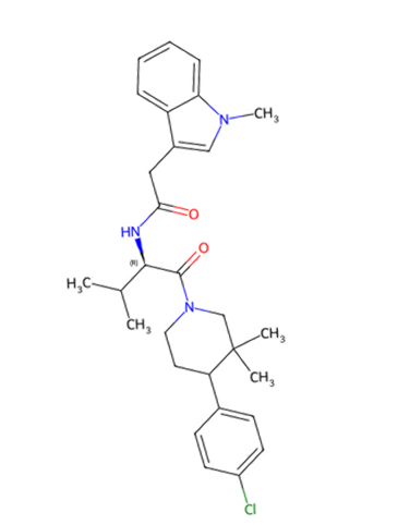 CC(C)[C@@H](NC(=O)Cc1cn(C)c2ccccc12)C(=O)N1CCC(c2ccc(Cl)cc2)C(C)(C)C1